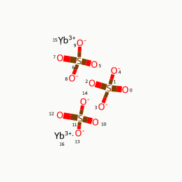 O=S(=O)([O-])[O-].O=S(=O)([O-])[O-].O=S(=O)([O-])[O-].[Yb+3].[Yb+3]